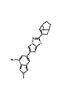 Cn1cc2cc(-c3cn4nc(C5=CC6CCC(C5)N6)sc4n3)cc(C#N)c2n1